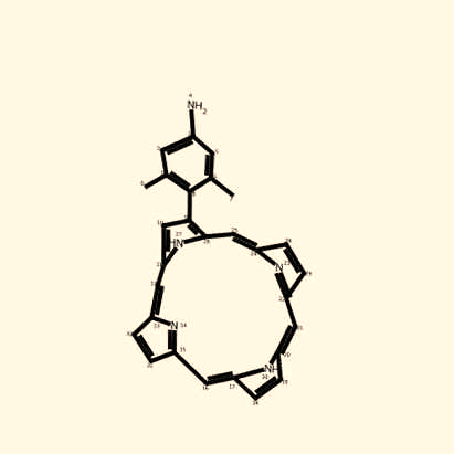 Cc1cc(N)cc(C)c1-c1cc2cc3nc(cc4ccc(cc5nc(cc1[nH]2)C=C5)[nH]4)C=C3